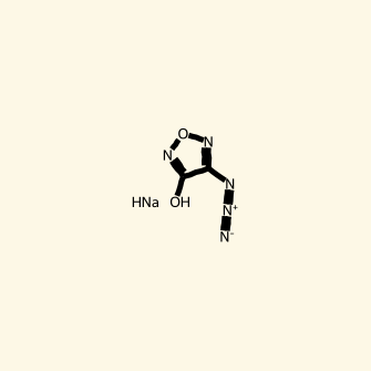 [N-]=[N+]=Nc1nonc1O.[NaH]